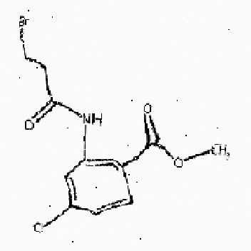 COC(=O)c1ccc(Cl)cc1NC(=O)CCBr